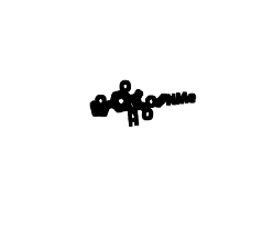 CNCCOC(=O)C1=C(C)C2C(=O)CC(c3ccco3)CC2N1